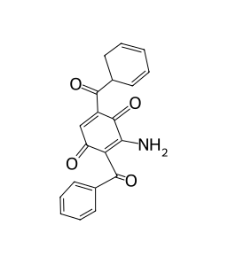 NC1=C(C(=O)c2ccccc2)C(=O)C=C(C(=O)C2C=CC=CC2)C1=O